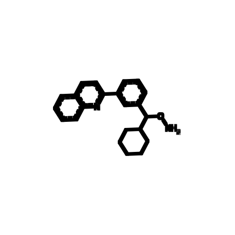 NOC(c1cccc(-c2ccc3ccccc3n2)c1)C1CCCCC1